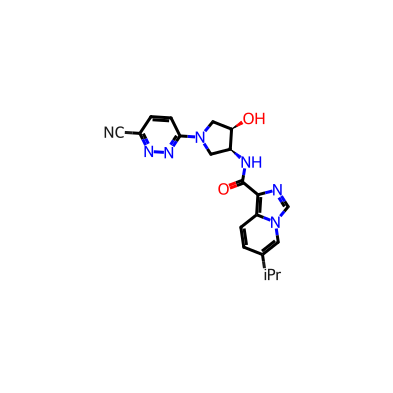 CC(C)c1ccc2c(C(=O)N[C@H]3CN(c4ccc(C#N)nn4)C[C@H]3O)ncn2c1